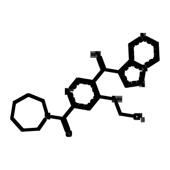 N=C(c1cnc(C(=O)N2CCCCCC2)cc1NCC(F)(F)F)c1cnn2ccncc12